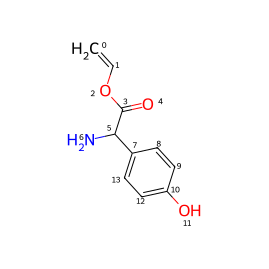 C=COC(=O)C(N)c1ccc(O)cc1